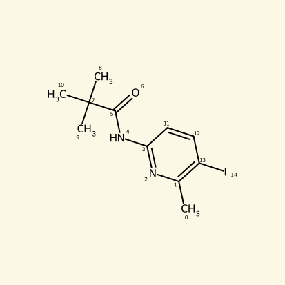 Cc1nc(NC(=O)C(C)(C)C)ccc1I